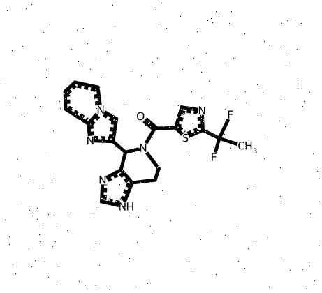 CC(F)(F)c1ncc(C(=O)N2CCc3[nH]cnc3C2c2cn3ccccc3n2)s1